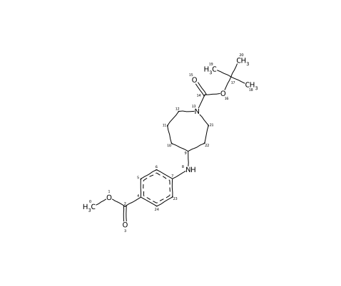 COC(=O)c1ccc(NC2CCCN(C(=O)OC(C)(C)C)CC2)cc1